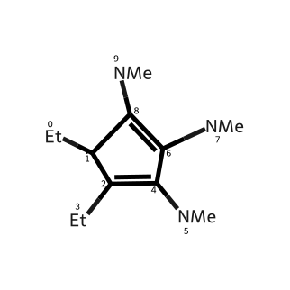 CC[C]1C(CC)=C(NC)C(NC)=C1NC